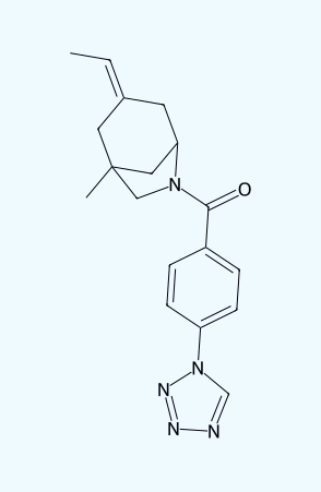 C/C=C1/CC2CC(C)(C1)CN2C(=O)c1ccc(-n2cnnn2)cc1